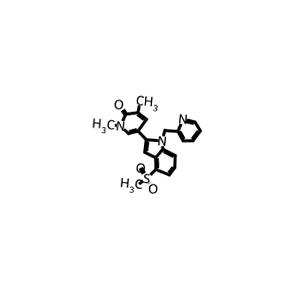 Cc1cc(-c2cc3c(S(C)(=O)=O)cccc3n2Cc2ccccn2)cn(C)c1=O